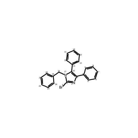 Brc1nc(-c2ccccc2)c(-c2ccccc2)n1Cc1ccccc1